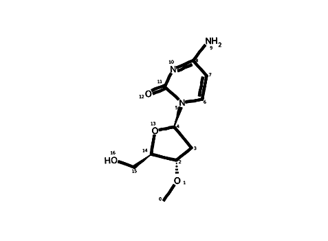 CO[C@H]1C[C@H](n2ccc(N)nc2=O)O[C@@H]1CO